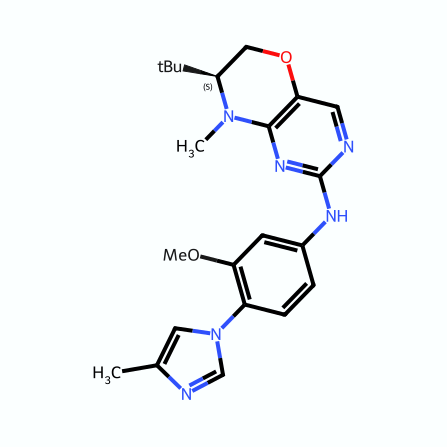 COc1cc(Nc2ncc3c(n2)N(C)[C@@H](C(C)(C)C)CO3)ccc1-n1cnc(C)c1